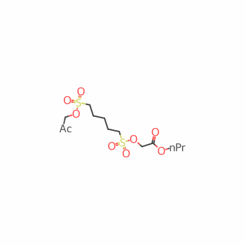 CCCOC(=O)COS(=O)(=O)CCCCCS(=O)(=O)OCC(C)=O